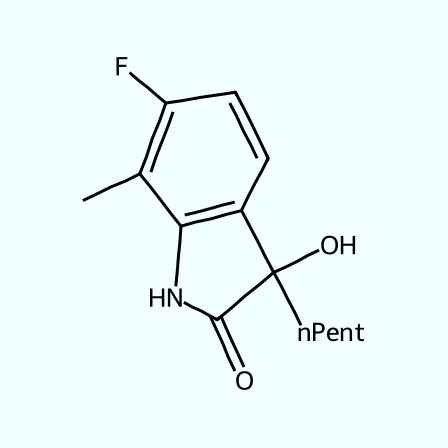 CCCCCC1(O)C(=O)Nc2c1ccc(F)c2C